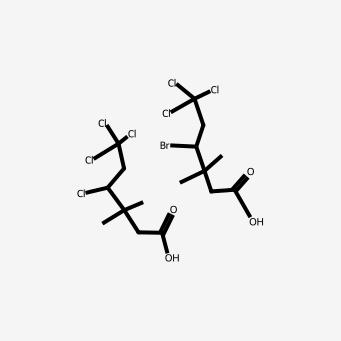 CC(C)(CC(=O)O)C(Br)CC(Cl)(Cl)Cl.CC(C)(CC(=O)O)C(Cl)CC(Cl)(Cl)Cl